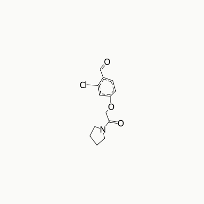 O=Cc1ccc(OCC(=O)N2CCCC2)cc1Cl